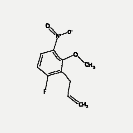 C=CCc1c(F)ccc([N+](=O)[O-])c1OC